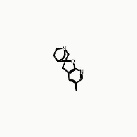 Cc1cnc2c(c1)C[C@@]1(CN3CCC1CC3)O2